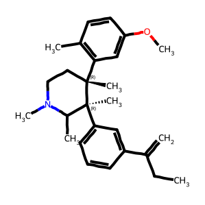 C=C(CC)c1cccc([C@@]2(C)C(C)N(C)CC[C@]2(C)c2cc(OC)ccc2C)c1